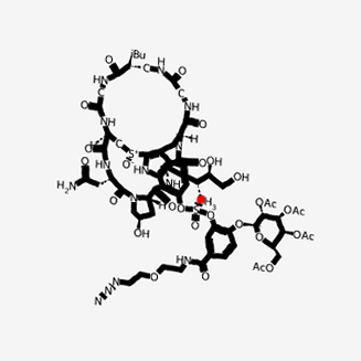 CC[C@H](C)[C@@H]1CNC(=O)CNC(=O)[C@@H]2Cc3c([nH]c4cc(OS(=O)(=O)Oc5cc(C(=O)NCCOCCN=[N+]=[N-])ccc5O[C@@H]5O[C@H](COC(C)=O)[C@H](OC(C)=O)[C@H](OC(C)=O)[C@H]5OC(C)=O)ccc34)[S+]([O-])C[C@H](NC(=O)CNC1=O)C(=O)N[C@@H](CC(N)=O)C(=O)N1C[C@H](O)C[C@H]1C(=O)N[C@@H]([C@@H](C)[C@@H](O)CO)C(=O)N2